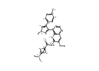 COc1cc2ncnc(-c3cn(C)nc3-c3ccc(F)cc3)c2nc1NC(=O)C12CC(N(C)C)(C1)C2